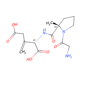 C=C(CC(=O)O)[C@H](NC(=O)[C@]1(C)CCCN1C(=O)CN)C(=O)O